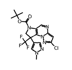 Cn1cc(C2(C(F)(F)F)CN(C(=O)OC(C)(C)C)c3cnc4cc(Cl)nn4c32)cn1